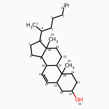 CC(C)CCCC(C)C1CCC2C3C=CC4CC(O)CCC4(C)C3CCC12C